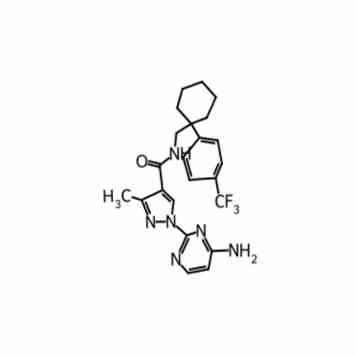 Cc1nn(-c2nccc(N)n2)cc1C(=O)NCC1(c2ccc(C(F)(F)F)cc2)CCCCC1